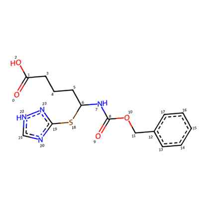 O=C(O)CCCC(NC(=O)OCc1ccccc1)Sc1nc[nH]n1